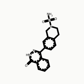 NS(=O)(=O)N1CCc2ccc(-c3n[nH]c(=O)c4ccccc34)cc2C1